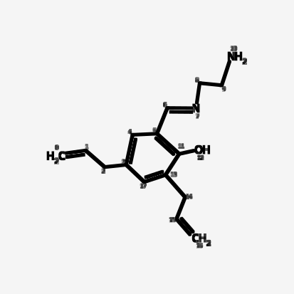 C=CCc1cc(C=NCCN)c(O)c(CC=C)c1